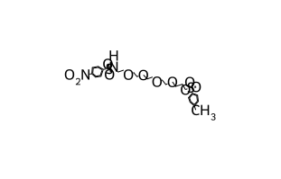 Cc1ccc(S(=O)(=O)OCCOCCOCCOCCOCCNS(=O)(=O)c2ccc([N+](=O)[O-])cc2)cc1